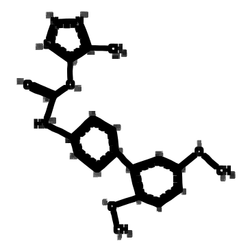 COc1ccc(OC)c(-c2ccc(NC(=O)Oc3snnc3C)cc2)c1